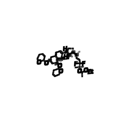 CCOC(C)OC(C)(C)C(F)(F)CC[C@@H](C)[C@H]1CC[C@H]2C3=CC=C4C[C@@H](OC5CCCCO5)C[C@H](OC5CCCCO5)[C@]4(C)[C@H]3CC[C@]12C